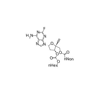 C#C[C@]1(COC(=O)CCCCCCCCC)O[C@@H](n2cnc3c(N)nc(F)nc32)C[C@@H]1OC(=O)OCCCCCC